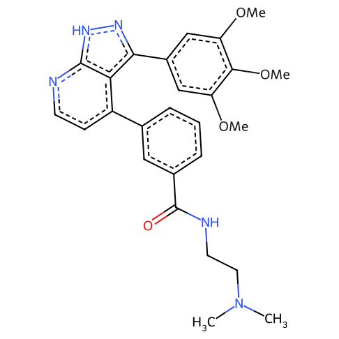 COc1cc(-c2n[nH]c3nccc(-c4cccc(C(=O)NCCN(C)C)c4)c23)cc(OC)c1OC